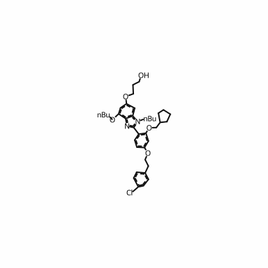 CCCCOc1cc(OCCCO)cc2c1nc(-c1ccc(OCCc3ccc(Cl)cc3)cc1OCC1CCCC1)n2CCCC